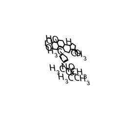 CN(C(=O)OC(C)(C)C)C1=CCC(C)([C@H]2C[C@]3(C)C(=O)CC[C@H]3C3CC[C@@]4(O)CC5(CCC4=C32)OCCO5)C=C1